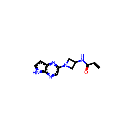 C=CC(=O)NC1CN(c2cnc3[nH]ccc3n2)C1